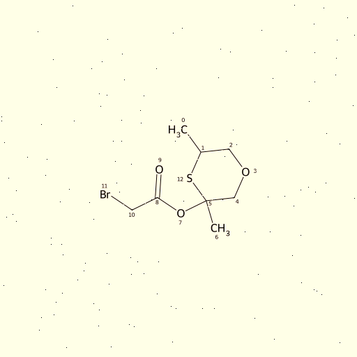 CC1COCC(C)(OC(=O)CBr)S1